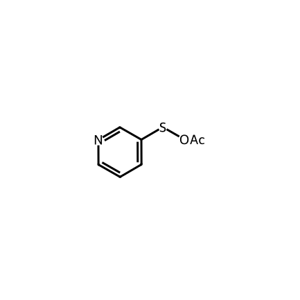 CC(=O)OSc1cccnc1